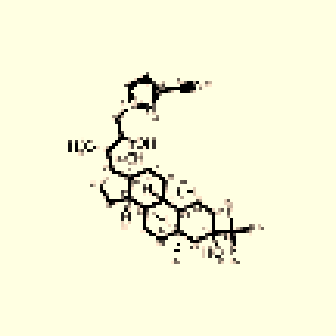 C[C@H]([C@H](O)Cn1ccc(C#N)n1)[C@H]1CC[C@H]2[C@@H]3CC[C@@H]4C[C@@](O)(C(F)(F)F)CC[C@]4(C)[C@H]3CC[C@]12C